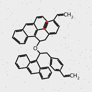 C=Cc1ccc(CC(OC(Cc2ccc(C=C)cc2)c2c3ccccc3cc3ccccc23)c2c3ccccc3cc3ccccc23)cc1